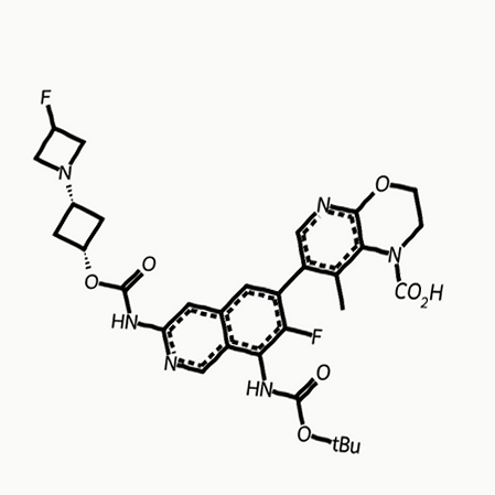 Cc1c(-c2cc3cc(NC(=O)O[C@H]4C[C@@H](N5CC(F)C5)C4)ncc3c(NC(=O)OC(C)(C)C)c2F)cnc2c1N(C(=O)O)CCO2